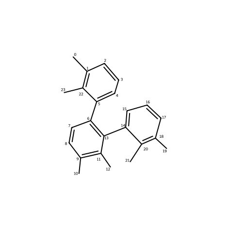 Cc1cccc(-c2ccc(C)c(C)c2-c2cccc(C)c2C)c1C